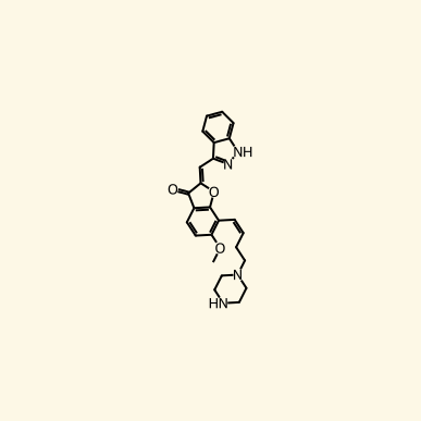 COc1ccc2c(c1/C=C\CCN1CCNCC1)O/C(=C\c1n[nH]c3ccccc13)C2=O